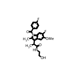 COc1cc2c(C(C)C(=O)NCCO)c(C)n(C(=O)c3ccc(F)cc3)c2cc1F